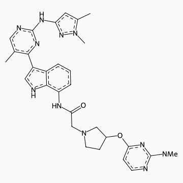 CNc1nccc(OC2CCN(CC(=O)Nc3cccc4c(-c5nc(Nc6cc(C)n(C)n6)ncc5C)c[nH]c34)C2)n1